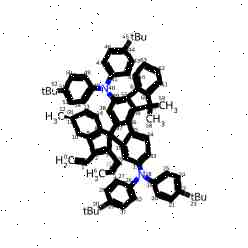 C=CC1=C(/C=C\C)C2(C3=C1C[C@@H](C)C=C3)c1cc(N(c3ccc(C(C)(C)C)cc3)c3ccc(C(C)(C)C)cc3)ccc1-c1c2cc(N(c2ccc(C(C)(C)C)cc2)c2ccc(C(C)(C)C)cc2)c2c1C(C)(C)c1ccccc1-2